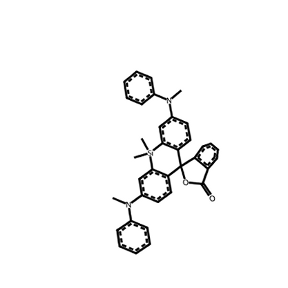 CN(c1ccccc1)c1ccc2c(c1)[Si](C)(C)c1cc(N(C)c3ccccc3)ccc1C21OC(=O)c2ccccc21